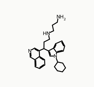 NCCCNCCC(c1cncc2ccccc12)c1cn(C2CCCCC2)c2ccccc12